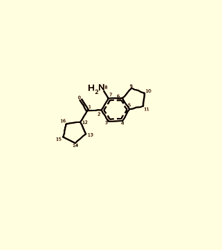 C=C(c1ccc2c(c1N)CCC2)C1CCCC1